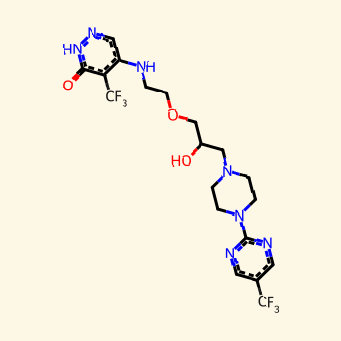 O=c1[nH]ncc(NCCOCC(O)CN2CCN(c3ncc(C(F)(F)F)cn3)CC2)c1C(F)(F)F